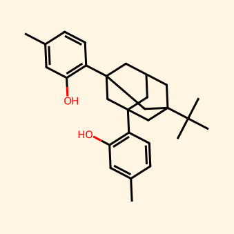 Cc1ccc(C23CC4CC(c5ccc(C)cc5O)(C2)CC(C(C)(C)C)(C4)C3)c(O)c1